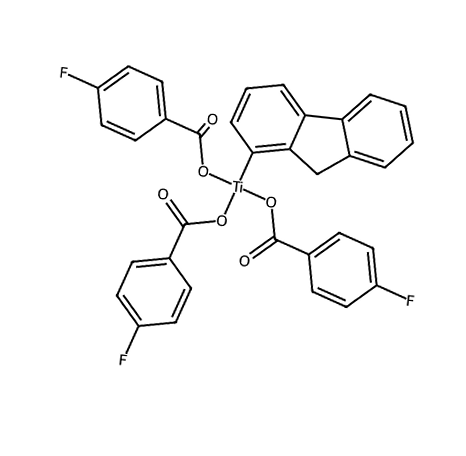 O=C([O][Ti]([O]C(=O)c1ccc(F)cc1)([O]C(=O)c1ccc(F)cc1)[c]1cccc2c1Cc1ccccc1-2)c1ccc(F)cc1